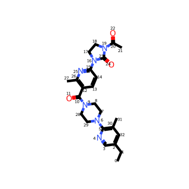 CCc1cnc(N2CCN(C(=O)c3ccc(N4CCN(C(C)=O)C4=O)nc3C)CC2)c(C)c1